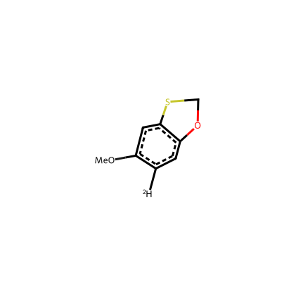 [2H]c1cc2c(cc1OC)SCO2